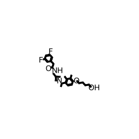 Cc1c(OCCCCO)ccc(C(C)N2CC(CNC(=O)Cc3cc(F)cc(F)c3)C2)c1C